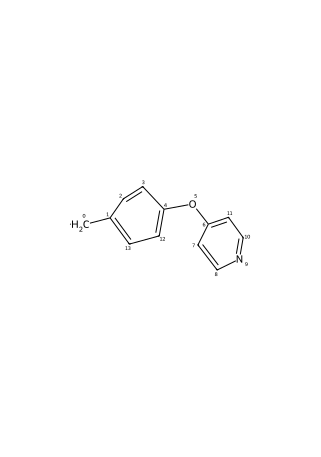 [CH2]c1ccc(Oc2ccncc2)cc1